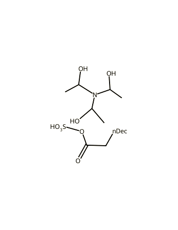 CC(O)N(C(C)O)C(C)O.CCCCCCCCCCCC(=O)OS(=O)(=O)O